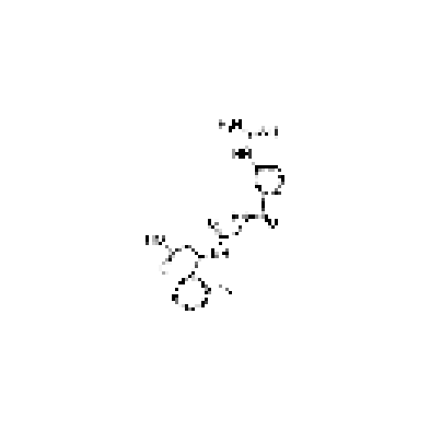 CCc1ccccc1C(CC(=O)O)NC(=O)CNC(=O)c1cccc(NC(=N)N)c1